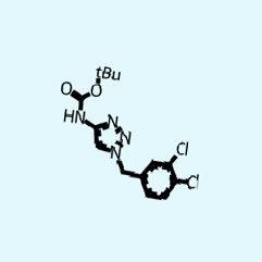 CC(C)(C)OC(=O)Nc1cn(Cc2ccc(Cl)c(Cl)c2)nn1